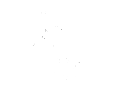 NN(CO)C(=O)CCc1ccccc1